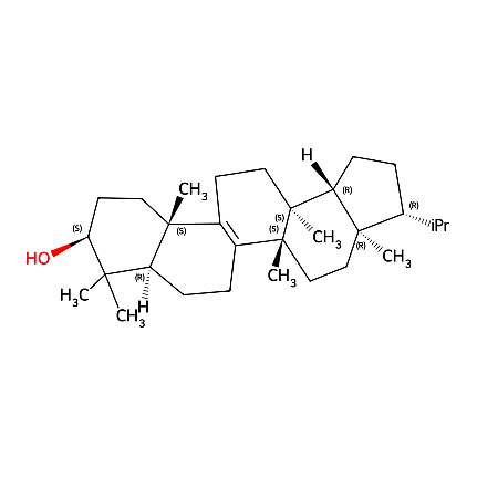 CC(C)[C@H]1CC[C@@H]2[C@]1(C)CC[C@]1(C)C3=C(CC[C@@]21C)[C@@]1(C)CC[C@H](O)C(C)(C)[C@@H]1CC3